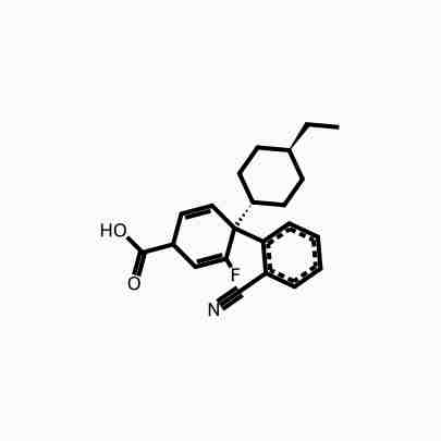 CC[C@H]1CC[C@H](C2(c3ccccc3C#N)C=CC(C(=O)O)C=C2F)CC1